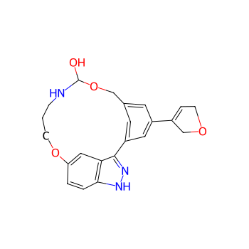 OC1NCCCOc2ccc3[nH]nc(c3c2)-c2cc(cc(C3=CCOC3)c2)CO1